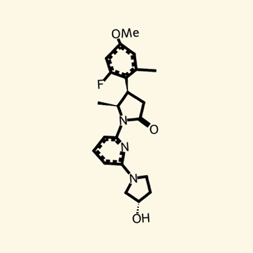 COc1cc(C)c([C@H]2CC(=O)N(c3cccc(N4CC[C@H](O)C4)n3)[C@H]2C)c(F)c1